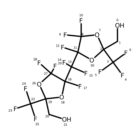 OCC1(C(F)(F)F)OC(F)(F)C(F)(C(F)(F)C2(F)OC(CO)(C(F)(F)F)OC2(F)F)O1